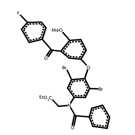 CCOC(=O)CN(C(=O)c1ccccc1)c1cc(Br)c(Oc2ccc(OC)c(C(=O)c3ccc(F)cc3)c2)c(Br)c1